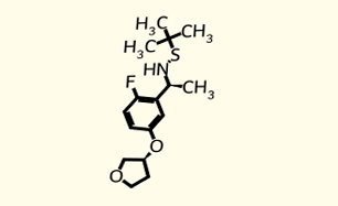 C[C@H](NSC(C)(C)C)c1cc(O[C@H]2CCOC2)ccc1F